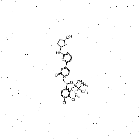 CC(C)(C)[Si](C)(C)O[C@@H](Cn1ccc(-c2ccnc(N[C@H]3CC[C@H](O)C3)n2)cc1=O)c1ccc(Cl)c(Cl)c1